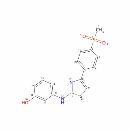 CS(=O)(=O)c1ccc(-c2csc(Nc3cccc(O)c3)n2)cc1